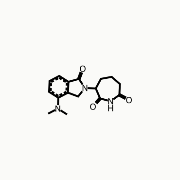 CN(C)c1cccc2c1CN(C1CCCC(=O)NC1=O)C2=O